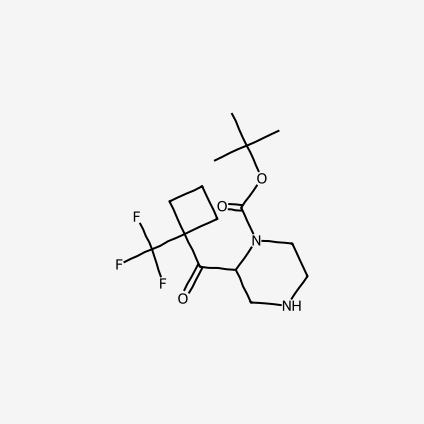 CC(C)(C)OC(=O)N1CCNCC1C(=O)C1(C(F)(F)F)CCC1